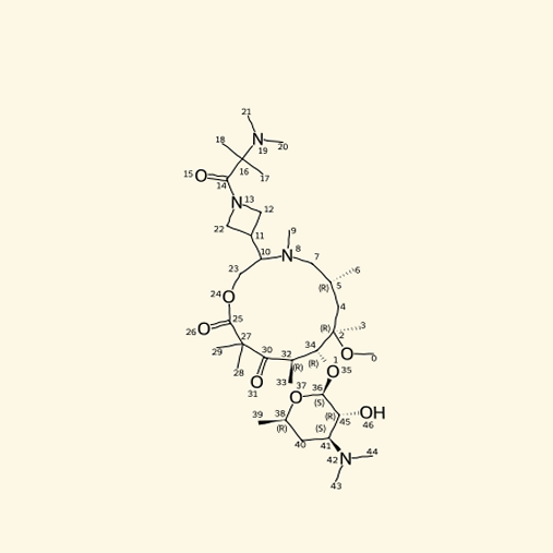 CO[C@]1(C)C[C@@H](C)CN(C)C(C2CN(C(=O)C(C)(C)N(C)C)C2)COC(=O)C(C)(C)C(=O)[C@H](C)[C@H]1O[C@@H]1O[C@H](C)C[C@H](N(C)C)[C@H]1O